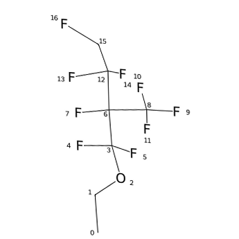 CCOC(F)(F)C(F)(C(F)(F)F)C(F)(F)CF